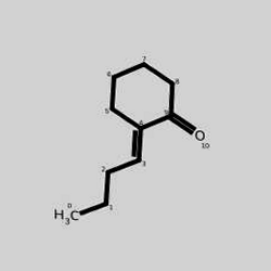 CCC/C=C1\CCCCC1=O